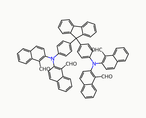 O=Cc1c(N(c2ccc(C3(c4ccc(N(c5ccc6ccccc6c5C=O)c5ccc6ccccc6c5C=O)cc4)c4ccccc4-c4ccccc43)cc2)c2ccc3ccccc3c2C=O)ccc2ccccc12